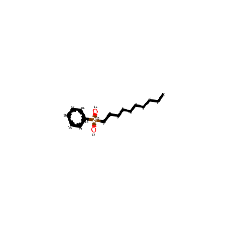 CCCCCCCCCCS(=O)(=O)c1ccccc1